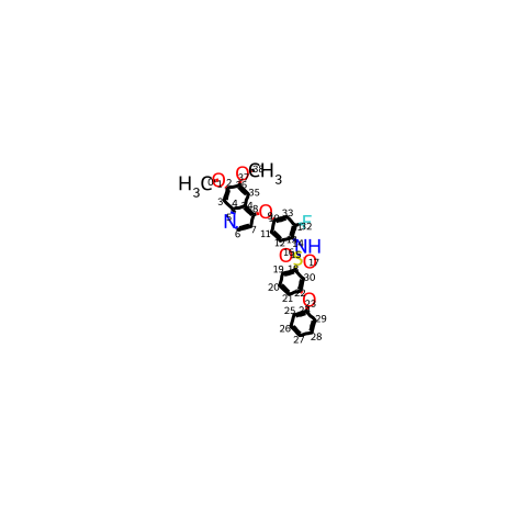 COc1cc2nccc(Oc3ccc(NS(=O)(=O)c4cccc(Oc5ccccc5)c4)c(F)c3)c2cc1OC